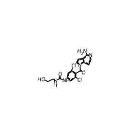 Nc1nccc2c1ccn2C(=O)c1c(Cl)cc(NC(=O)NCCO)cc1Cl